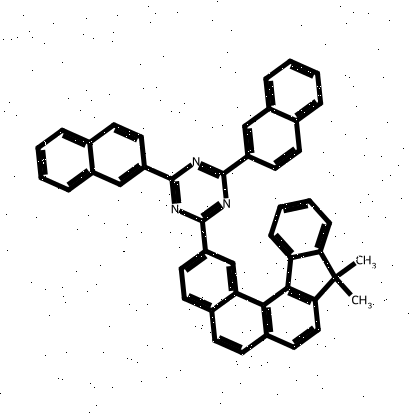 CC1(C)c2ccccc2-c2c1ccc1ccc3ccc(-c4nc(-c5ccc6ccccc6c5)nc(-c5ccc6ccccc6c5)n4)cc3c21